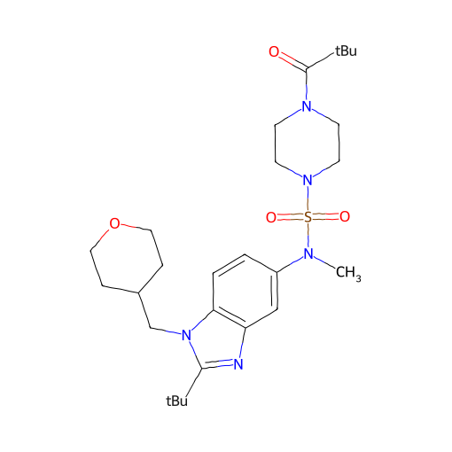 CN(c1ccc2c(c1)nc(C(C)(C)C)n2CC1CCOCC1)S(=O)(=O)N1CCN(C(=O)C(C)(C)C)CC1